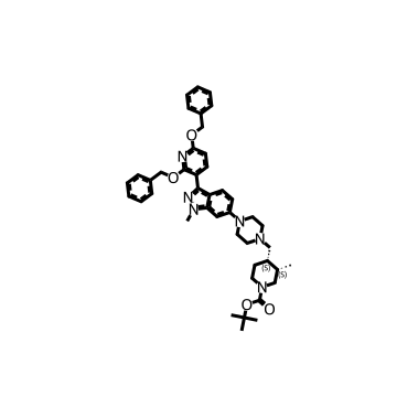 C[C@@H]1CN(C(=O)OC(C)(C)C)CC[C@@H]1CN1CCN(c2ccc3c(-c4ccc(OCc5ccccc5)nc4OCc4ccccc4)nn(C)c3c2)CC1